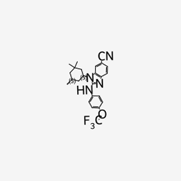 C[C@@H]1C[C@H](n2c(Nc3ccc(OC(F)(F)F)cc3)nc3ccc(C#N)cc32)CC(C)(C)C1